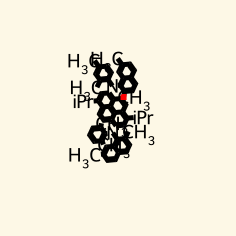 Cc1ccc(N(c2c(C)ccc3ccc(C)cc23)c2cc(C(C)C)c3ccc4c(N(c5c(C)cccc5C)c5c(C)ccc6ccc(C)cc56)cc(C(C)C)c5ccc2c3c54)c(C)c1